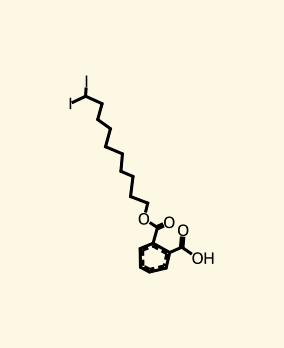 O=C(O)c1ccccc1C(=O)OCCCCCCCCCC(I)I